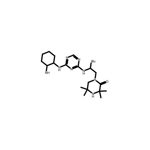 CCC(C)C(CN1CC(C)(C)NC(C)(C)C1=O)Nc1n[c]nc(NC2CCCCC2[NH])n1